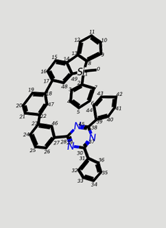 C[Si]1(c2ccccc2)c2ccccc2-c2ccc(-c3cccc(-c4cccc(-c5nc(-c6ccccc6)nc(-c6ccccc6)n5)c4)c3)cc21